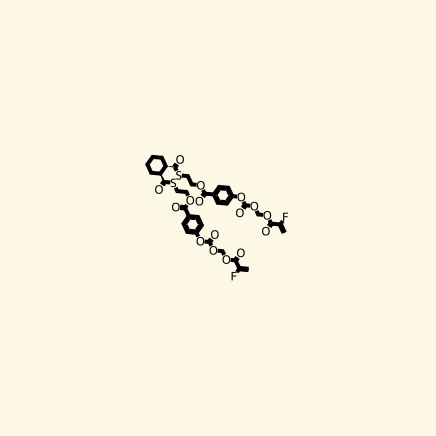 C=C(F)C(=O)OCOC(=O)Oc1ccc(C(=O)OCCSC(=O)[C@H]2CCCC[C@@H]2C(=O)SCCOC(=O)c2ccc(OC(=O)OCOC(=O)C(=C)F)cc2)cc1